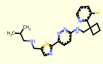 CC(C)CNCc1cnc(-c2ccc(NCC3(c4ncccc4F)CCC3)nn2)s1